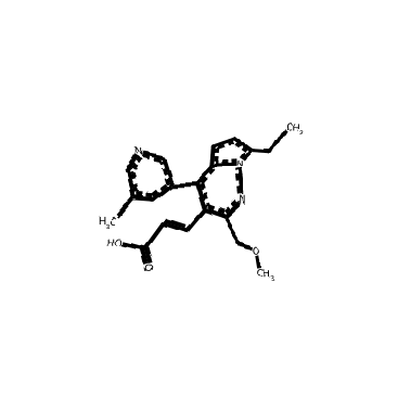 CCc1ccc2c(-c3cncc(C)c3)c(C=CC(=O)O)c(COC)nn12